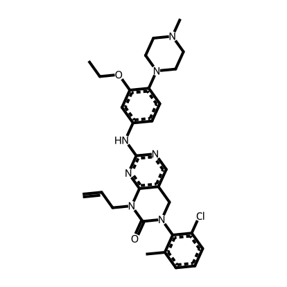 C=CCN1C(=O)N(c2c(C)cccc2Cl)Cc2cnc(Nc3ccc(N4CCN(C)CC4)c(OCC)c3)nc21